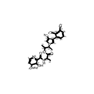 COc1ccnc(C(=O)NC(C)C(=O)OC(C)C(C)n2cc(C#N)c(-c3cccc(Cl)c3Cl)c2)c1O